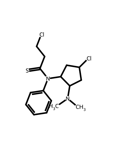 CN(C)C1CC(Cl)CC1N(C(=S)CCCl)c1ccccc1